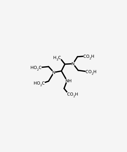 CC(C(NCC(=O)O)N(CC(=O)O)CC(=O)O)N(CC(=O)O)CC(=O)O